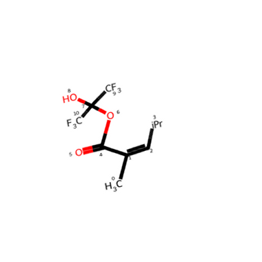 CC(=CC(C)C)C(=O)OC(O)(C(F)(F)F)C(F)(F)F